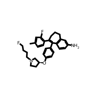 Cc1ccc(C2=C(c3ccc(O[C@H]4CCN(CCCCF)C4)cc3)c3ccc(N)cc3CCC2)c(F)c1